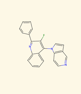 Fc1c(-c2ccccc2)nc2ccccc2c1-n1ccc2cnccc21